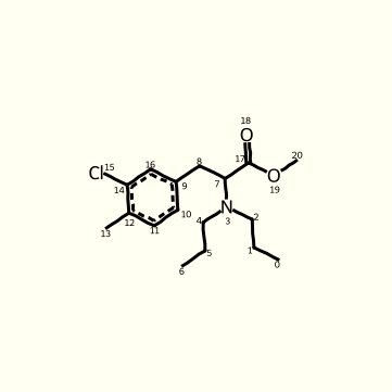 CCCN(CCC)C(Cc1ccc(C)c(Cl)c1)C(=O)OC